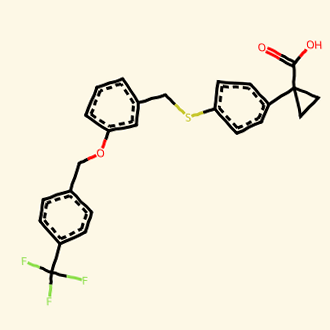 O=C(O)C1(c2ccc(SCc3cccc(OCc4ccc(C(F)(F)F)cc4)c3)cc2)CC1